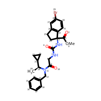 COC(=O)[C@]1(NC(=O)NCC(=O)N(Cc2ccccc2)[C@@H](C)C2CC2)CCc2cc(Br)ccc21